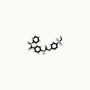 CCS(=O)(=O)c1ccc(CC(=O)Nc2ccc(C(=O)N(C)c3ccccn3)cc2)cc1